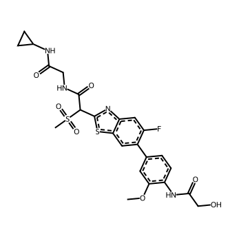 COc1cc(-c2cc3sc(C(C(=O)NCC(=O)NC4CC4)S(C)(=O)=O)nc3cc2F)ccc1NC(=O)CO